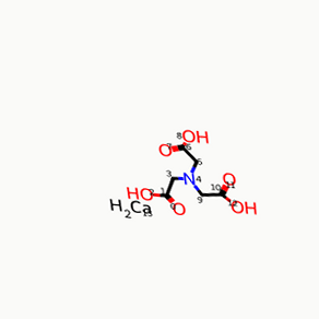 O=C(O)CN(CC(=O)O)CC(=O)O.[CaH2]